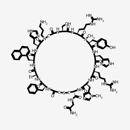 CC[C@@H]1NC(=O)[C@H](Cc2ccccc2)NC(=O)CSC[C@@H](C(=O)NCC(N)=O)NC(=O)[C@H](Cc2cncn2C)NC(=O)[C@H](CCCNC(=N)N)NC(=O)[C@H](Cc2c[nH]cn2)NC(=O)[C@H](Cc2ccc(O)cc2)N(C)C(=O)[C@H](CCCNC(=N)N)NC(=O)[C@H](CO)NC(=O)CN(CCCN)C(=O)[C@H](Cc2c[nH]cn2)NC(=O)[C@H](Cc2cccc3ccccc23)NC1=O